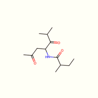 CCC(C)C(=O)NC(CC(C)=O)C(=O)C(C)C